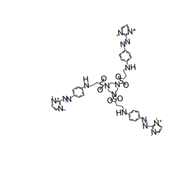 Cn1cc[n+](C)c1/N=N/c1ccc(NCCS(=O)(=O)N2CN(S(=O)(=O)CCNc3ccc(/N=N/c4n(C)cc[n+]4C)cc3)CN(S(=O)(=O)CCNc3ccc(/N=N/c4n(C)cc[n+]4C)cc3)C2)cc1